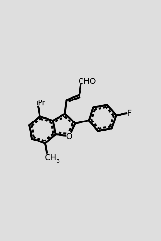 Cc1ccc(C(C)C)c2c(C=CC=O)c(-c3ccc(F)cc3)oc12